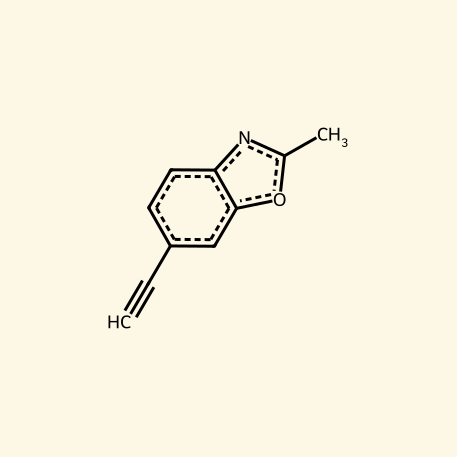 C#Cc1ccc2nc(C)oc2c1